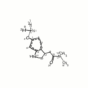 [2H]C([2H])([2H])Oc1ccc2c(c1)NCC2CC(=O)N(C)C